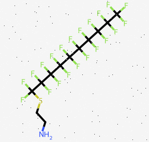 NCCSC(F)(F)C(F)(F)C(F)(F)C(F)(F)C(F)(F)C(F)(F)C(F)(F)C(F)(F)C(F)(F)C(F)(F)F